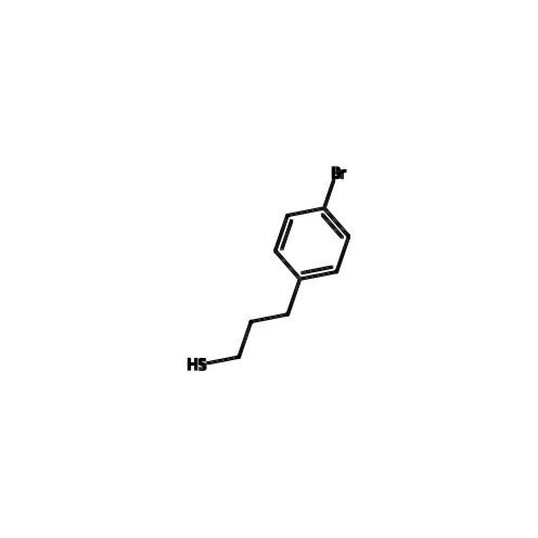 SCCCc1ccc(Br)cc1